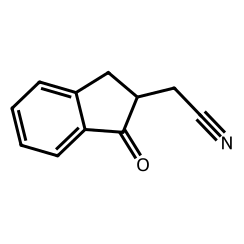 N#CCC1Cc2ccccc2C1=O